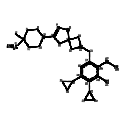 CCOC(=O)C1(C)CCN(C2=NOC3(C2)CN(Cc2cc(C4CC4)c(C4CC4)c(Cl)c2OCC)C3)CC1